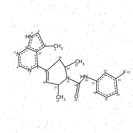 Cc1c[nH]c2ncnc(C3=CC(C)N(C(=O)Nc4cccc(F)c4)C(C)C3)c12